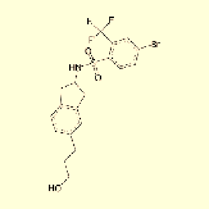 O=S(=O)(NC1Cc2ccc(CCCO)cc2C1)c1ccc(Br)cc1C(F)(F)F